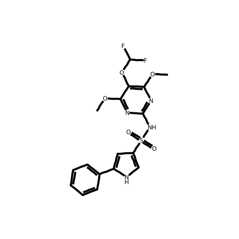 COc1nc(NS(=O)(=O)c2c[nH]c(-c3ccccc3)c2)nc(OC)c1OC(F)F